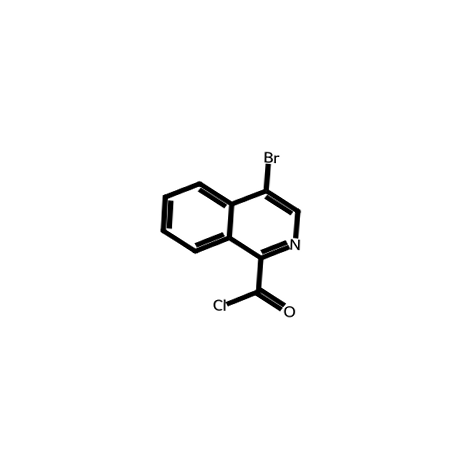 O=C(Cl)c1ncc(Br)c2ccccc12